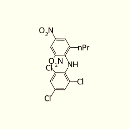 CCCc1cc([N+](=O)[O-])cc([N+](=O)[O-])c1Nc1c(Cl)cc(Cl)cc1Cl